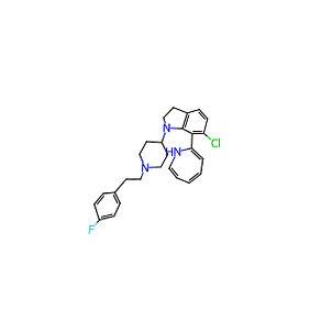 Fc1ccc(CCN2CCC(N3CCc4ccc(Cl)c(C5=CC=CC=CN5)c43)CC2)cc1